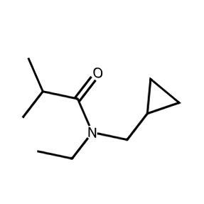 CCN(CC1CC1)C(=O)C(C)C